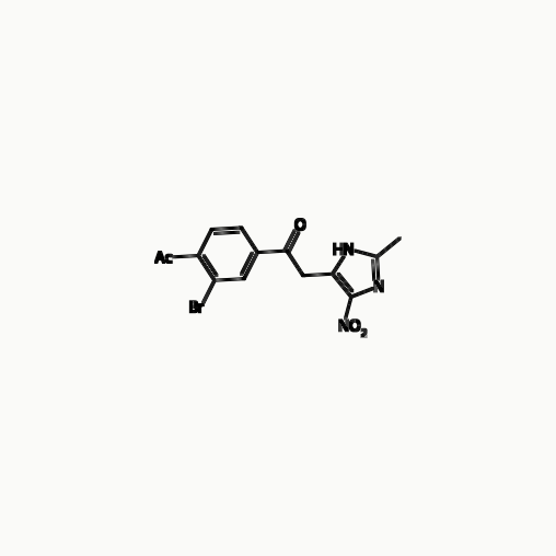 CC(=O)c1ccc(C(=O)Cc2[nH]c(C)nc2[N+](=O)[O-])cc1Br